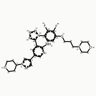 Nc1ncc(-c2cnn(C3CCOCC3)c2)cc1-c1nnnn1-c1ccc(OCCCN2CCOCC2)c(F)c1F